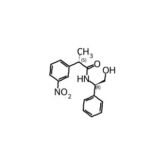 C[C@H](C(=O)N[C@@H](CO)c1ccccc1)c1cccc([N+](=O)[O-])c1